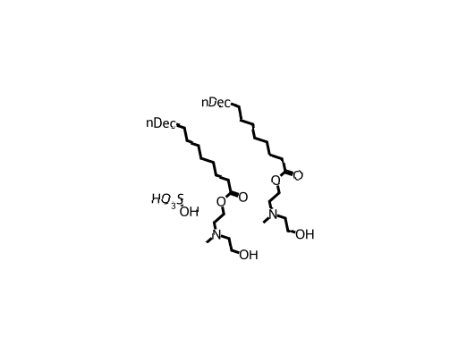 CCCCCCCCCCCCCCCCCC(=O)OCCN(C)CCO.CCCCCCCCCCCCCCCCCC(=O)OCCN(C)CCO.O=S(=O)(O)O